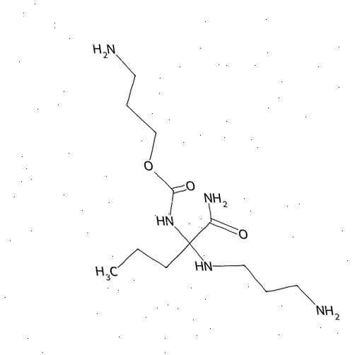 CCCC(NCCCN)(NC(=O)OCCCN)C(N)=O